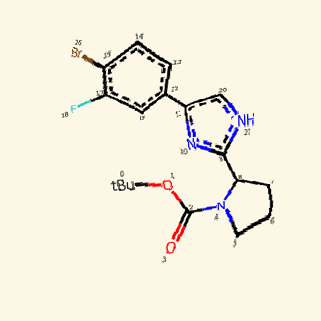 CC(C)(C)OC(=O)N1CCCC1c1nc(-c2ccc(Br)c(F)c2)c[nH]1